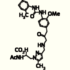 COc1cc(CC(=O)CNCc2cc(C)n(CC(NC(C)=O)C(=O)O)n2)ccc1NC(=O)Nc1ccccc1C